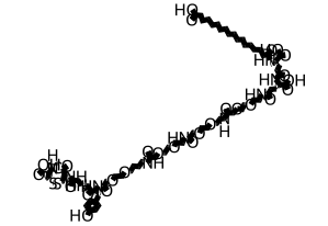 O=C(O)CCCCCCCCCCCCCCCCC(=O)N[C@@H](CCC(=O)N[C@@H](CCC(=O)NCCOCCOCC(=O)NCCOCCOCC(=O)NCCOCCOCC(=O)NCCCCOCCOCC(=O)N[C@@H](Cc1ccc(O)cc1)C(=O)CNCC(=O)N[C@H]1CSSC[C@@H](C(=O)O)NCC1=O)C(=O)O)C(=O)O